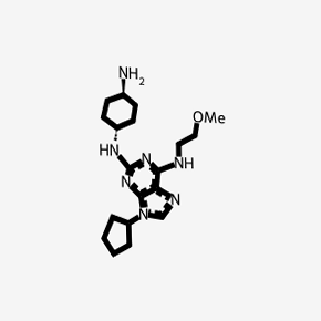 COCCNc1nc(N[C@H]2CC[C@H](N)CC2)nc2c1ncn2C1CCCC1